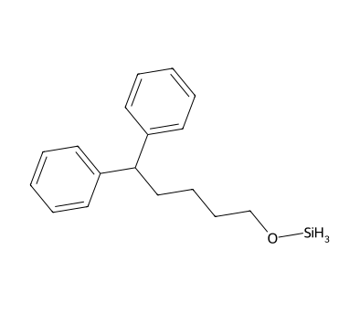 [SiH3]OCCCCC(c1ccccc1)c1ccccc1